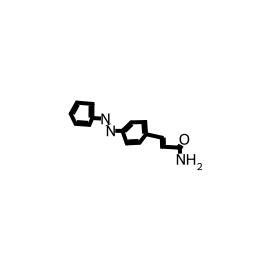 NC(=O)C=Cc1ccc(N=Nc2ccccc2)cc1